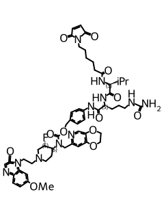 COc1ccc2ncc(=O)n(CCN3CC[C@H](N(Cc4cc5c(cn4)OCCO5)C(=O)OCc4ccc(NC(=O)[C@H](CCCNC(N)=O)NC(=O)[C@@H](NC(=O)CCCCCN5C(=O)C=CC5=O)C(C)C)cc4)[C@@H](F)C3)c2c1